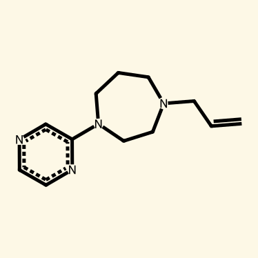 C=CCN1CCCN(c2cnccn2)CC1